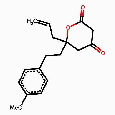 C=CCC1(CCc2ccc(OC)cc2)CC(=O)CC(=O)O1